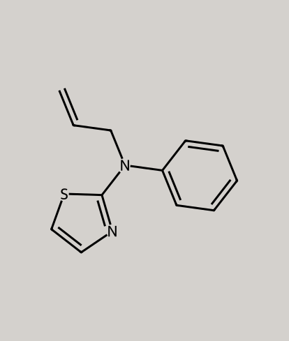 C=CCN(c1ccccc1)c1nccs1